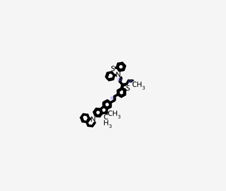 C/C=C\c1sc2ccc(/C=C/c3ccc4c(c3)C(C)(C)c3cc(N5CCCC6=C5CCC=C6)ccc3-4)cc2c1/C=C/N1c2ccccc2SC2C=CC=CC21